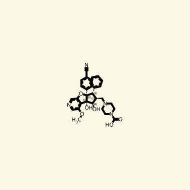 COc1cncc2c1[C@]1(O)[C@H](O)[C@H](CN3CCN(C(=O)O)CC3)[C@@H](c3ccccc3)[C@]1(c1ccc(C#N)cc1)O2